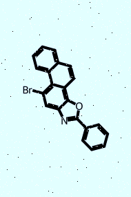 Brc1cc2nc(-c3ccccc3)oc2c2ccc3ccccc3c12